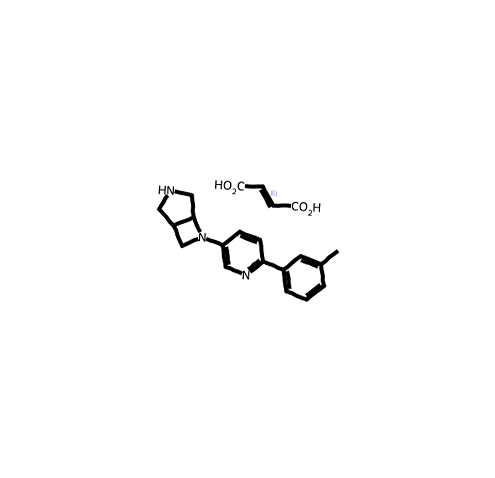 Cc1cccc(-c2ccc(N3CC4CNCC43)cn2)c1.O=C(O)/C=C/C(=O)O